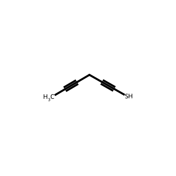 CC#CCC#CS